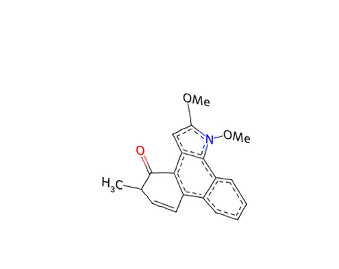 COc1cc2c3c(c4ccccc4c2n1OC)C=CC(C)C3=O